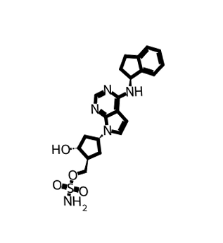 NS(=O)(=O)OC[C@@H]1C[C@@H](n2ccc3c(N[C@H]4CCc5ccccc54)ncnc32)C[C@H]1O